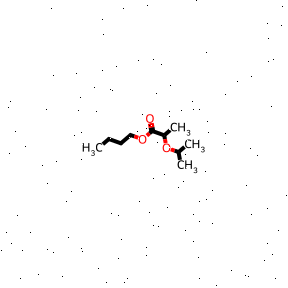 CCCCOC(=O)C(C)OC(C)C